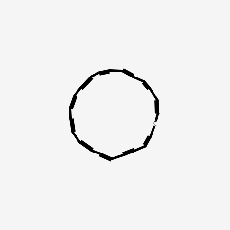 [C]1=C/C=C\C=C/C=C\C=C/C=C\C=C/C=C\C=C/C=C\C=C/C\1